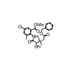 CCCC(C(=O)Nc1c(C)cc(Cl)cc1C(=O)OC)[N+](C)(C)CC(=O)OCc1ccccc1